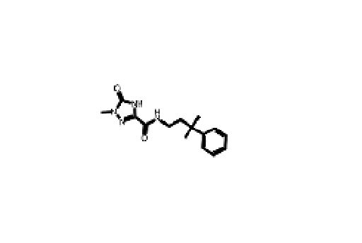 Cn1nc(C(=O)NCCC(C)(C)c2ccccc2)[nH]c1=O